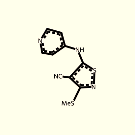 CSc1nsc(Nc2ccncc2)c1C#N